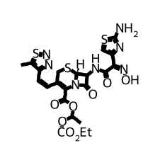 CCOC(=O)OC(C)OC(=O)C1=C(/C=C\c2nnsc2C)CS[C@H]2C(NC(=O)/C(=N\O)c3csc(N)n3)C(=O)N12